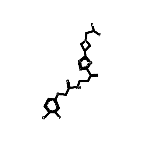 C=C(CCNC(=O)COc1ccc(Cl)c(F)c1)c1nnc(C2CN(CC(F)F)C2)o1